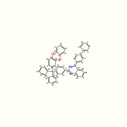 c1ccc(-c2ccc(-c3nc(-c4ccc(C5(c6ccc7c(c6)Oc6ccccc6O7)c6ccccc6-c6ccccc65)cc4)nc4ccccc34)cc2)cc1